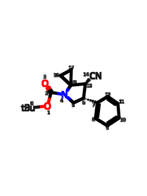 CC(C)(C)OC(=O)N1C[C@@H](c2ccccc2)[C@H](C#N)C12CC2